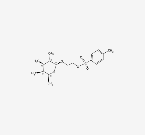 CC(=O)O[C@@H]1[C@@H](OCCOS(=O)(=O)c2ccc(C)cc2)O[C@@H](C)[C@@H](C)[C@H]1C